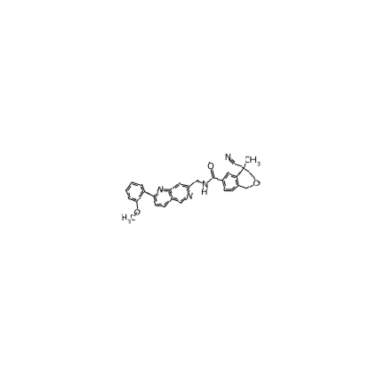 COc1ccccc1-c1ccc2cnc(CNC(=O)c3ccc4c(c3)[C@](C)(C#N)COC4)cc2n1